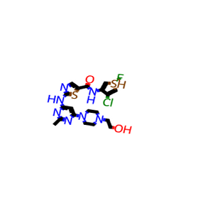 Cc1nc(Nc2ncc(C(=O)NC3=C[SH](F)C=C3Cl)s2)cc(N2CCN(CCO)CC2)n1